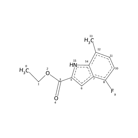 CCOC(=O)c1cc2c(F)ccc(C)c2[nH]1